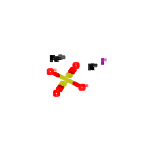 O=S(=O)([O-])[O-].[Fe+2].[I-].[K+]